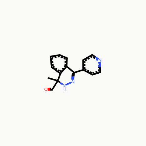 CC1(C=O)NN=C(c2ccncc2)c2ccccc21